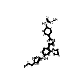 CC(C)OC(=O)NC1CCC(c2ncc(-c3ccc(NC4=CC(CCF)N=N4)cc3P3(=O)CCC3)s2)CC1